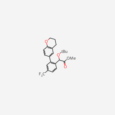 COC(=O)C(OC(C)(C)C)c1ccc(C(F)(F)F)cc1-c1ccc2c(c1)CCCO2